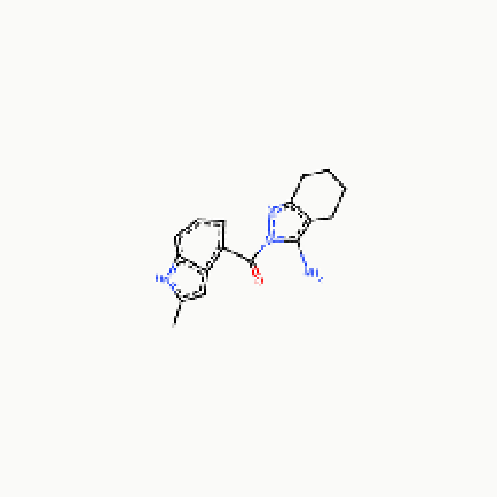 Cc1cc2c(C(=O)n3nc4c(c3N)CCCC4)cccc2[nH]1